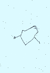 BrC1CC=CC(I)C1